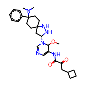 COC1C(NC(=O)C(=O)CC2CCC2)=CN=CN1[C@@H]1CC2(CCC(c3ccccc3)(N(C)C)CC2)NN1